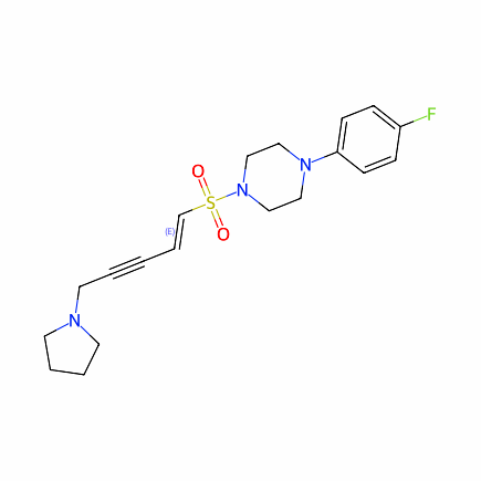 O=S(=O)(/C=C/C#CCN1CCCC1)N1CCN(c2ccc(F)cc2)CC1